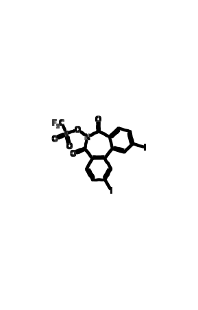 O=c1c2ccc(I)cc2c2cc(I)ccc2c(=O)n1OS(=O)(=O)C(F)(F)F